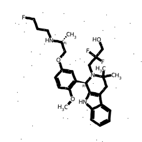 COc1ccc(OC[C@@H](C)NCCCF)cc1[C@@H]1c2[nH]c3ccccc3c2CC(C)(C)N1CC(F)(F)CO